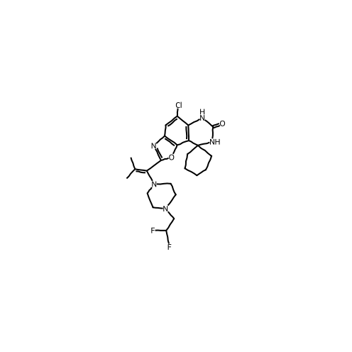 CC(C)=C(c1nc2cc(Cl)c3c(c2o1)C1(CCCCC1)NC(=O)N3)N1CCN(CC(F)F)CC1